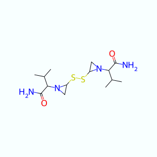 CC(C)C(C(N)=O)N1CC1SSC1CN1C(C(N)=O)C(C)C